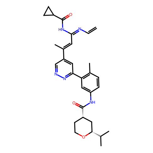 C=C/N=C(\C=C(/C)c1cnnc(-c2cc(NC(=O)[C@H]3CCO[C@@H](C(C)C)C3)ccc2C)c1)NC(=O)C1CC1